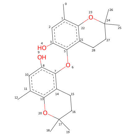 Cc1cc(O)c(Oc2c(O)cc(C)c3c2CCC(C)(C)O3)c2c1OC(C)(C)CC2